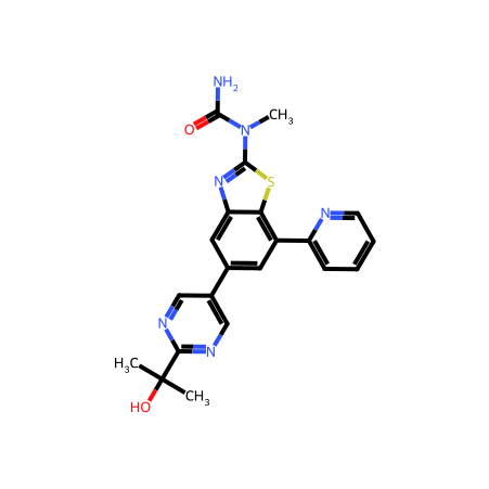 CN(C(N)=O)c1nc2cc(-c3cnc(C(C)(C)O)nc3)cc(-c3ccccn3)c2s1